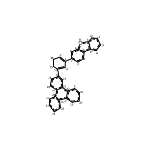 C1=C(c2ccc3c(c2)oc2ccccc23)C=C(c2ccc3c4ccccc4c4ccccc4c3c2)CC1